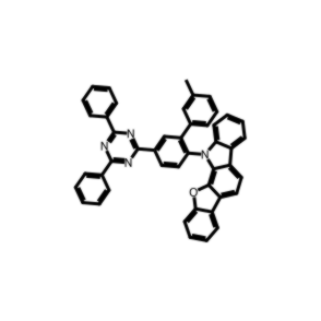 Cc1cccc(-c2cc(-c3nc(-c4ccccc4)nc(-c4ccccc4)n3)ccc2-n2c3ccccc3c3ccc4c5ccccc5oc4c32)c1